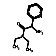 CCN(CC)C(=O)C(N)c1ccccn1